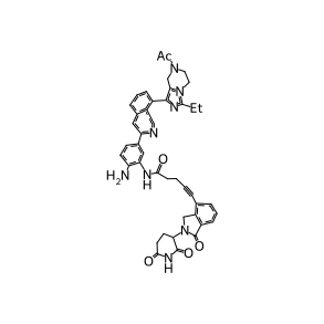 CCc1nc(-c2cccc3cc(-c4ccc(N)c(NC(=O)CCC#Cc5cccc6c5CN(C5CCC(=O)NC5=O)C6=O)c4)ncc23)c2n1CCN(C(C)=O)C2